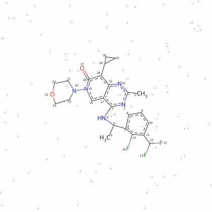 Cc1nc(NC(C)c2cccc(C(F)F)c2F)c2cn(N3CCOCC3)c(=O)c(C3CC3)c2n1